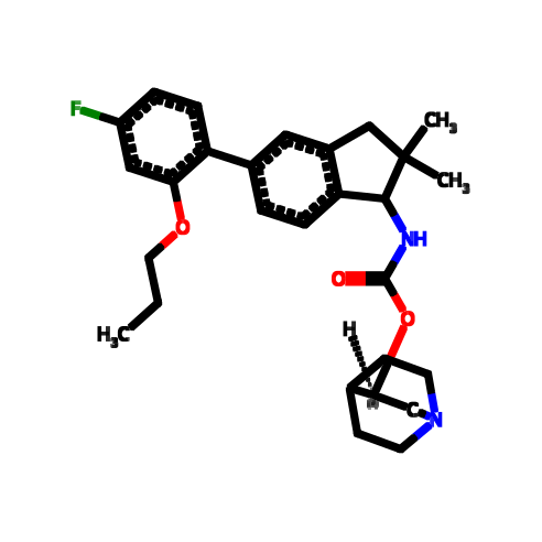 CCCOc1cc(F)ccc1-c1ccc2c(c1)CC(C)(C)C2NC(=O)O[C@H]1CN2CCC1CC2